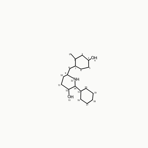 CC1CC(O)CCC1CC1CCC(O)C(C2CCCCC2)N1